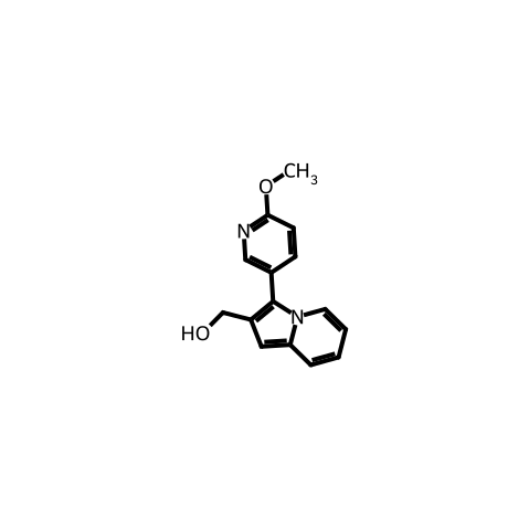 COc1ccc(-c2c(CO)cc3ccccn23)cn1